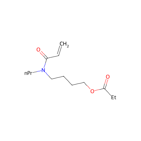 C=CC(=O)N(CCC)CCCCOC(=O)CC